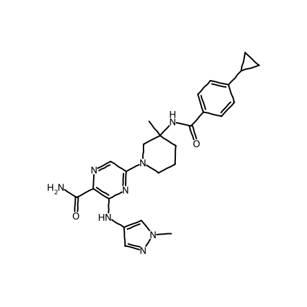 Cn1cc(Nc2nc(N3CCCC(C)(NC(=O)c4ccc(C5CC5)cc4)C3)cnc2C(N)=O)cn1